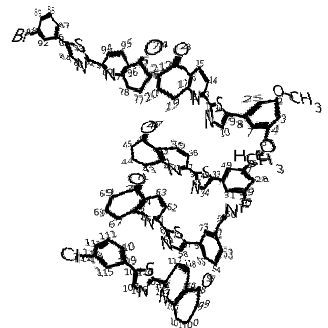 COc1cc(OC)cc(-c2cnc(-c3ccc4c(n3)CCCC4=O)s2)c1.Cc1cc(F)cc(-c2cnc(-c3ccc4c(n3)CCCC4=O)s2)c1.N#Cc1cccc(-c2cnc(-c3ccc4c(n3)CCCC4=O)s2)c1.O=C1CCCc2nc(-c3ncc(-c4cccc(Br)c4)s3)ccc21.O=C1CCCc2nc(-c3ncc(-c4cccc(Cl)c4)s3)ccc21